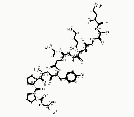 CC[C@H](C)[C@H](NC(=O)[C@@H]1CCCN1C(=O)[C@@H]1CCCN1C(=O)[C@H](C)NC(=O)[C@H](Cc1ccc(O)cc1)NC(=O)[C@H](CCSC)NC(=O)[C@H](C)NC(=O)[C@H](CCCCN)NC(=O)CNC(=O)[C@@H](NC(=O)[C@@H](N)CCC(=O)O)C(C)C)C(=O)O